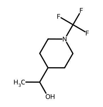 CC(O)C1CCN(C(F)(F)F)CC1